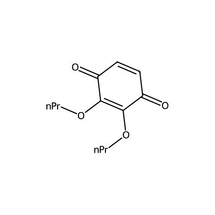 CCCOC1=C(OCCC)C(=O)C=CC1=O